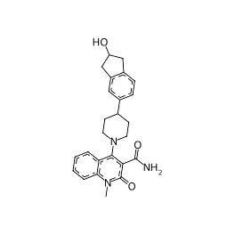 Cn1c(=O)c(C(N)=O)c(N2CCC(c3ccc4c(c3)CC(O)C4)CC2)c2ccccc21